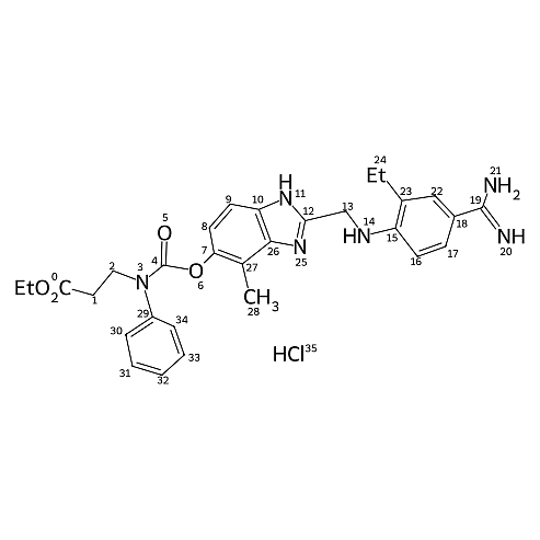 CCOC(=O)CCN(C(=O)Oc1ccc2[nH]c(CNc3ccc(C(=N)N)cc3CC)nc2c1C)c1ccccc1.Cl